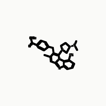 COC(=O)c1ccc(Cc2c(C)cc3nc4cccc(C#N)c4n3c2N2CC[C@H](N(C)C)C2)cc1